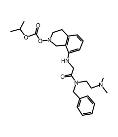 CC(C)OC(=O)ON1CCc2cccc(NCC(=O)N(CCN(C)C)Cc3ccccc3)c2C1